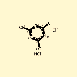 Cl.Cl.Clc1nc(Cl)nc(Cl)n1